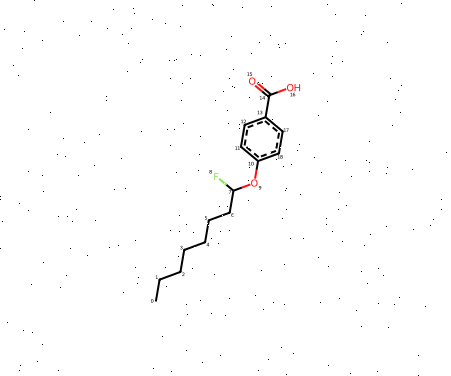 CCCCCCCC(F)Oc1ccc(C(=O)O)cc1